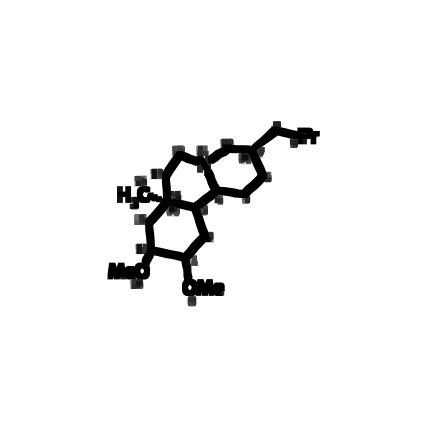 COC1CC2C3CC[C@H](CC(C)C)CN3CC[C@]2(C)CC1OC